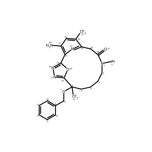 CC(C)N1CCCCC(OCc2ccccc2)(C(F)(F)F)c2nnc(o2)-c2nc(c(C(F)(F)F)cc2N)CC1=O